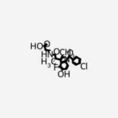 Cc1c([C@H](C)C(=O)NCCC(=O)O)c2c(F)c(O)ccc2n1C(=O)c1ccc(Cl)cc1